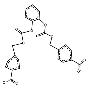 O=C(OCc1ccc([N+](=O)[O-])cc1)Oc1c[c]ccc1OC(=O)OCc1ccc([N+](=O)[O-])cc1